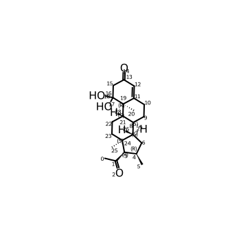 CC(=O)[C@@H]1[C@H](C)C[C@H]2[C@@H]3CCC4=CC(=O)CC(O)(O)[C@]4(C)[C@H]3CC[C@]12C